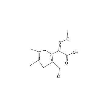 CON=C(C(=O)O)C1=C(CCl)CC(C)=C(C)C1